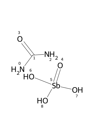 NC(N)=O.[O]=[Sb]([OH])([OH])[OH]